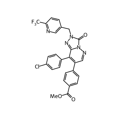 COC(=O)c1ccc(-c2cnn3c(=O)n(Cc4ccc(C(F)(F)F)nc4)nc3c2-c2ccc(Cl)cc2)cc1